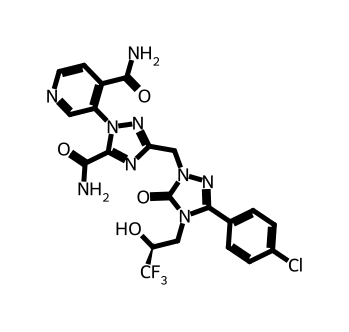 NC(=O)c1ccncc1-n1nc(Cn2nc(-c3ccc(Cl)cc3)n(C[C@H](O)C(F)(F)F)c2=O)nc1C(N)=O